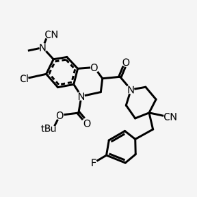 CN(C#N)c1cc2c(cc1Cl)N(C(=O)OC(C)(C)C)CC(C(=O)N1CCC(C#N)(CC3C=CC(F)=CC3)CC1)O2